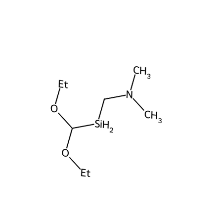 CCOC(OCC)[SiH2]CN(C)C